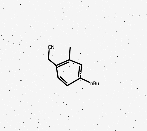 CCCCc1ccc(CC#N)c(C)c1